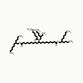 CCCCCCC(CCCC)COC(=O)CCCCCCCCC(CCCCCCCCC(=O)OCC(CCCC)CCCCCC)N(CC(CC)CCCC)C(=O)CCCCNC